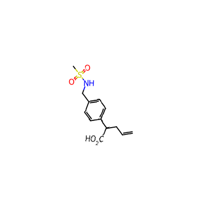 C=CCC(C(=O)O)c1ccc(CNS(C)(=O)=O)cc1